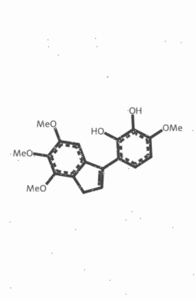 COc1ccc(C2=CCc3c2cc(OC)c(OC)c3OC)c(O)c1O